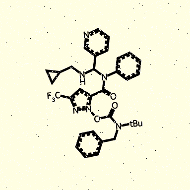 CC(C)(C)N(Cc1ccccc1)C(=O)On1nc(C(F)(F)F)cc1C(=O)N(c1ccccc1)C(NCC1CC1)c1cccnc1